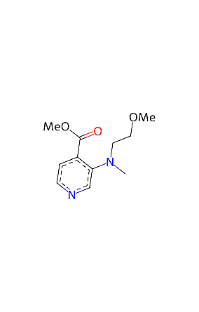 COCCN(C)c1cnccc1C(=O)OC